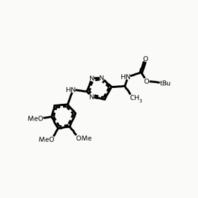 COc1cc(Nc2ncc(C(C)NC(=O)OC(C)(C)C)nn2)cc(OC)c1OC